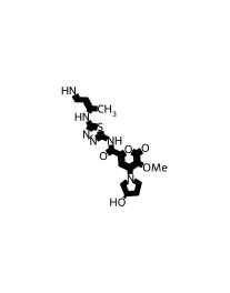 COc1c(N2CC[C@@H](O)C2)cc(C(=O)Nc2nnc(N/C(C)=C\C=N)s2)oc1=O